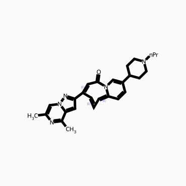 CCCN1CCC(C2=CN3C(=O)\C=C(c4cc5c(C)nc(C)cn5n4)/C=C/C=C/3C=C2)CC1